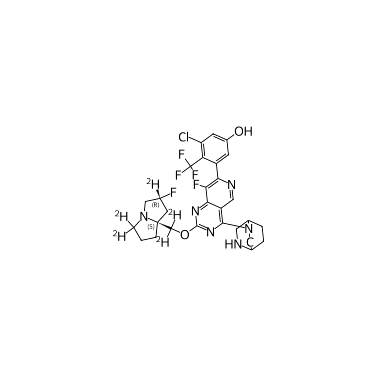 [2H]C1([2H])CC[C@@]2(C([2H])([2H])Oc3nc(N4CC5CCC4CN5)c4cnc(-c5cc(O)cc(Cl)c5C(F)(F)F)c(F)c4n3)C[C@@]([2H])(F)CN12